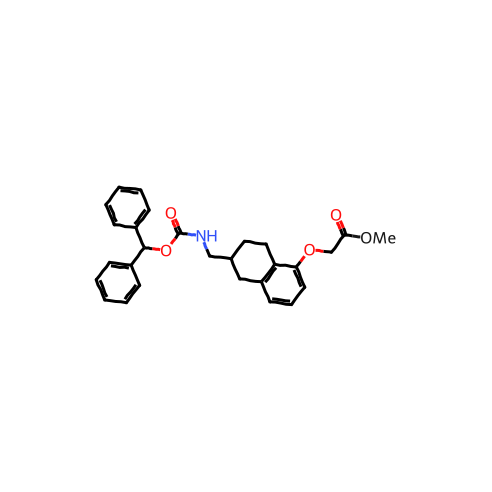 COC(=O)COc1cccc2c1CCC(CNC(=O)OC(c1ccccc1)c1ccccc1)C2